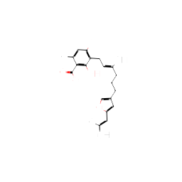 CC(C)=Cc1cc(CCC/C(C)=C/Cc2c(O)cc(C)c(C(=O)O)c2O)co1